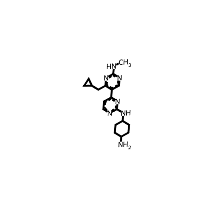 CNc1ncc(-c2ccnc(NC3CCC(N)CC3)n2)c(CC2CC2)n1